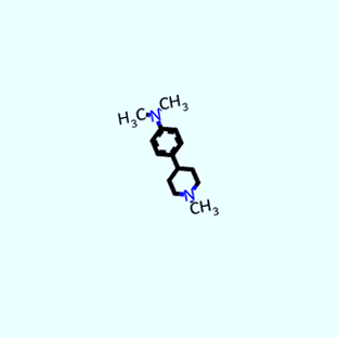 CN1CCC(c2ccc(N(C)C)cc2)CC1